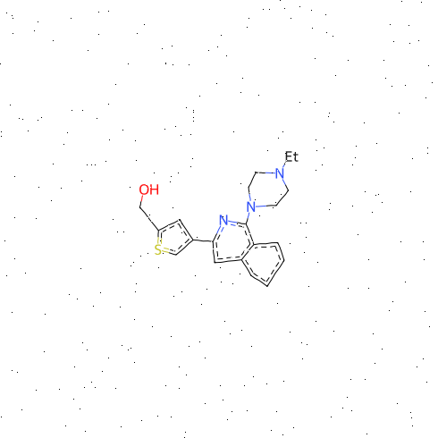 CCN1CCN(c2nc(-c3csc(CO)c3)cc3ccccc23)CC1